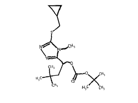 Cn1c(SCC2CC2)nnc1C(CC(C)(C)C)OC(=O)OC(C)(C)C